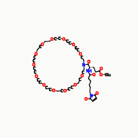 CC(C)(C)OC(=O)CC[C@H](NC(=O)CCCCCN1C(=O)C=CC1=O)C(=O)N1CCOCCOCCOCCOCCOCCOCCOCCOCCOCCOCCOCCOCCOCC1